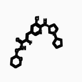 O=C(NOC1CCCCO1)C(F)=Cc1cnc(N[C@@H]2CCN(C3CCCC3)C2)c(Cl)c1